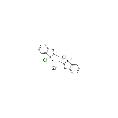 CC1(Cl)C(CCC2=Cc3ccccc3C2(C)Cl)=Cc2ccccc21.[Zr]